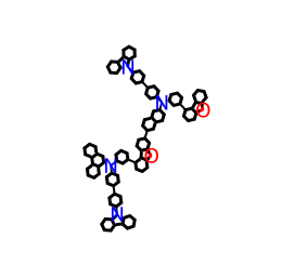 c1cc(-c2cccc3oc4ccccc4c23)cc(N(c2ccc(-c3ccc(-n4c5ccccc5c5ccccc54)cc3)cc2)c2ccc3cc(-c4ccc5c(c4)oc4cccc(-c6cccc(N(c7ccc(-c8ccc(-n9c%10ccccc%10c%10ccccc%109)cc8)cc7)c7cc8ccccc8c8ccccc78)c6)c45)ccc3c2)c1